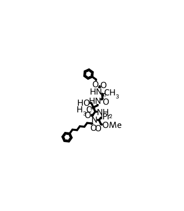 COC(=O)C(C(C)C)N(C(=O)CCCCCc1ccccc1)C(=O)C(N)[C@](C)(CO)CNC(=O)[C@H](C)NC(=O)OCc1ccccc1